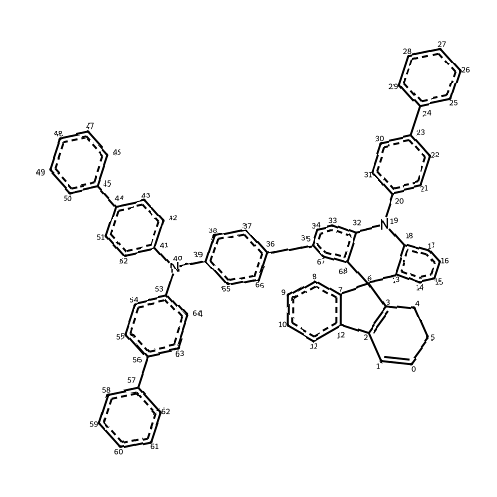 C1=CC2=C(CC1)C1(c3ccccc32)c2ccccc2N(c2ccc(-c3ccccc3)cc2)c2ccc(-c3ccc(N(c4ccc(-c5ccccc5)cc4)c4ccc(-c5ccccc5)cc4)cc3)cc21